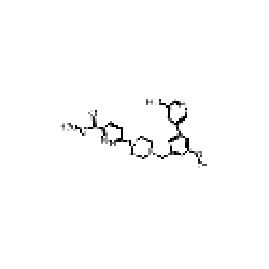 CCOc1cc(CN2CCN(c3ccc(C(=O)OC(C)(C)C)nn3)CC2)cc(-c2cncc(O)c2)c1